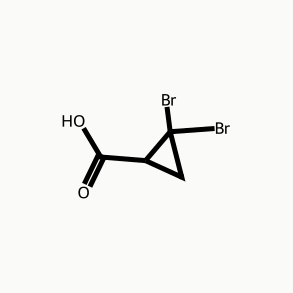 O=C(O)C1CC1(Br)Br